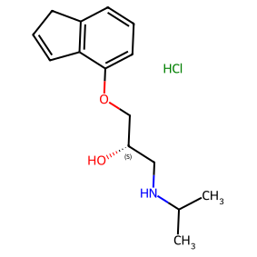 CC(C)NC[C@H](O)COc1cccc2c1C=CC2.Cl